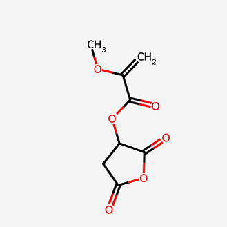 C=C(OC)C(=O)OC1CC(=O)OC1=O